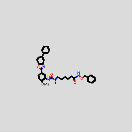 COc1ccc(-c2nc3cc(-c4ccccc4)ccc3o2)cc1NC(=O)NCCCCCC(=O)NOCc1ccccc1